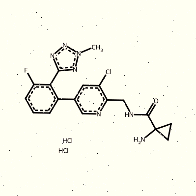 Cl.Cl.Cn1nnc(-c2c(F)cccc2-c2cnc(CNC(=O)C3(N)CC3)c(Cl)c2)n1